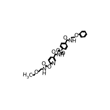 CCOCCNC(=O)Oc1ccc(C(=O)NS(=O)(=O)c2ccc(C(=O)NCCOc3ccccc3)cc2)cn1